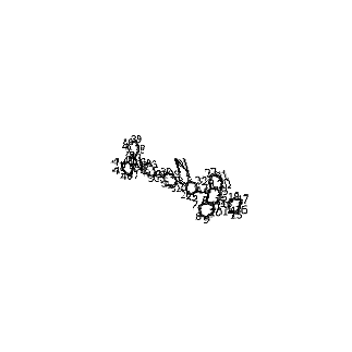 N#Cc1cc(-c2c3ccccc3c(-c3ccccc3)c3ccccc23)ccc1-c1ccc(-c2ccc(-n3c4ccccc4c4ccccc43)cc2)cc1